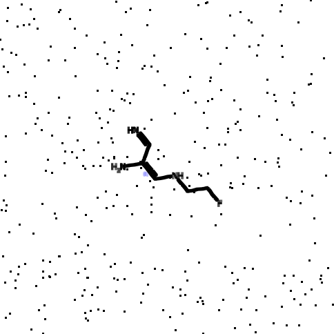 N=C/C(N)=C\NCCF